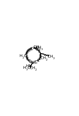 C=C1CCCCCCCCCC(C)C(CC)CCCCCC(CCCCCCCC)CCC(=C)CCCCCCCN(CCCNC(=C)C)CCCCCCC1